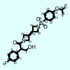 O=C(C(CO)c1ccc(F)cc1)N1CC(=C2CN(S(=O)(=O)c3ccc(OC(F)F)cc3)C2)C1